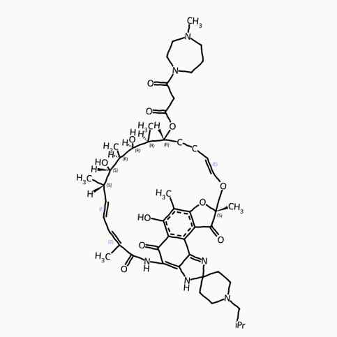 C/C1=C/C=C/[C@H](C)[C@H](O)[C@@H](C)[C@@H](O)[C@@H](C)[C@H](OC(=O)CC(=O)N2CCCN(C)CC2)CC/C=C/O[C@@]2(C)Oc3c(C)c(O)c4c(c3C2=O)C2=NC3(CCN(CC(C)C)CC3)NC2=C(NC1=O)C4=O